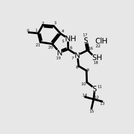 Cc1ccc2[nH]c(N(CCCSC(C)(C)C)C(=S)S)nc2c1.Cl